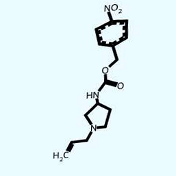 C=CCN1CCC(NC(=O)OCc2ccc([N+](=O)[O-])cc2)C1